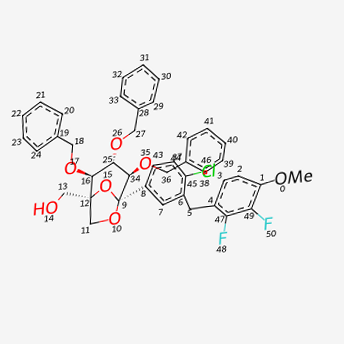 COc1ccc(Cc2cc([C@]34OC[C@](CO)(O3)[C@@H](OCc3ccccc3)[C@H](OCc3ccccc3)[C@H]4OCc3ccccc3)ccc2Cl)c(F)c1F